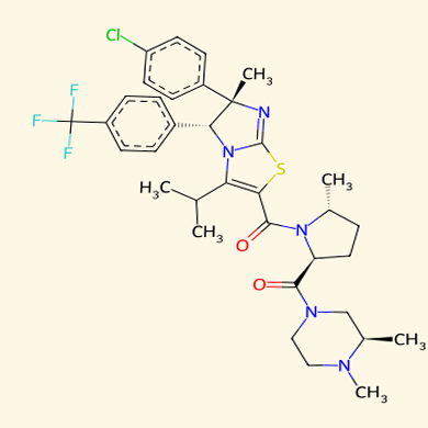 CC(C)C1=C(C(=O)N2[C@H](C)CC[C@H]2C(=O)N2CCN(C)[C@H](C)C2)SC2=N[C@@](C)(c3ccc(Cl)cc3)[C@@H](c3ccc(C(F)(F)F)cc3)N21